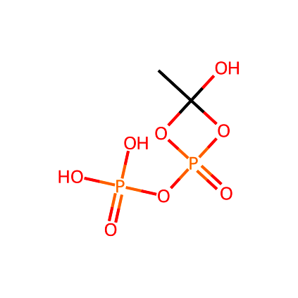 CC1(O)OP(=O)(OP(=O)(O)O)O1